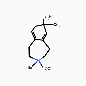 CC1(C(=O)O)C=C2CC[N+](C(=O)[O-])(C(C)(C)C)CCC2=CC1